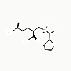 CC(C1CCCO1)P(=O)(O)CC(CCC(=O)O)C(=O)O